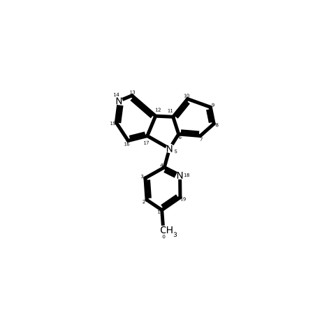 Cc1ccc(-n2c3ccccc3c3cnccc32)nc1